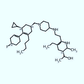 CCCCC1=C(C2=CC[C@H](F)CC2)[C@@H](C2CC2)C[C@@H](CN2CCC(NCCC3=C(CC)C[C@H](C(C)O)C(C)N3)CC2)C1